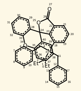 CCN(CC)[N+](Cc1ccccc1)(Cc1ccccc1)c1cccc2c1C1(OC2=O)c2ccccc2Oc2ccccc21